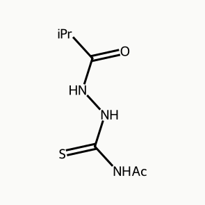 CC(=O)NC(=S)NNC(=O)C(C)C